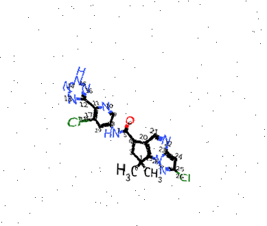 CC1(C)CC(C(=O)Nc2cnc(-c3nn[nH]n3)c(Cl)c2)c2cnc3cc(Cl)nn3c21